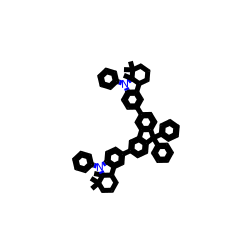 CC1(C)CCCC2c3cc(-c4ccc5c(c4)-c4cc(-c6ccc7c(c6)C6CCCC(C)(C)C6(C)N7c6ccccc6)ccc4C5(c4ccccc4)c4ccccc4)ccc3N(c3ccccc3)C21C